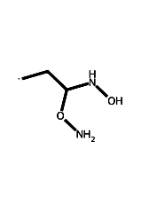 [CH2]CC(NO)ON